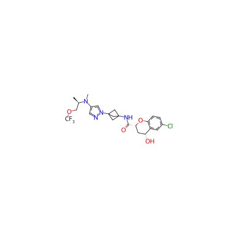 C[C@H](COC(F)(F)F)N(C)c1cnn(C23CC(NC(=O)[C@H]4C[C@@H](O)c5cc(Cl)ccc5O4)(C2)C3)c1